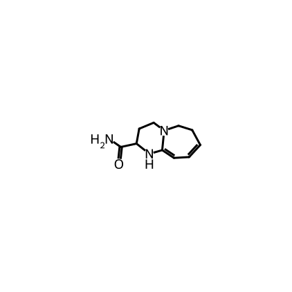 NC(=O)C1CCN2CCC=CC=C2N1